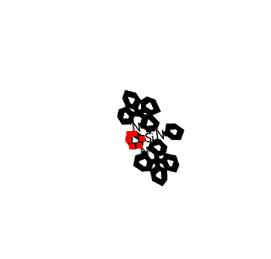 c1ccc(N2c3ccc4c5c3[Si]3(c6ccccc6)c6c(cccc6N6c7ccccc7C(c7ccccc7)(c7ccccc7)c7ccc2c3c76)N5c2ccccc2C4(c2ccccc2)c2ccccc2)cc1